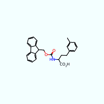 Cc1cccc(CCC(NC(=O)OCC2c3ccccc3-c3ccccc32)C(=O)O)c1